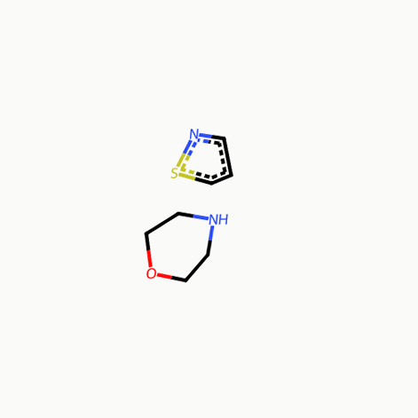 C1COCCN1.c1cnsc1